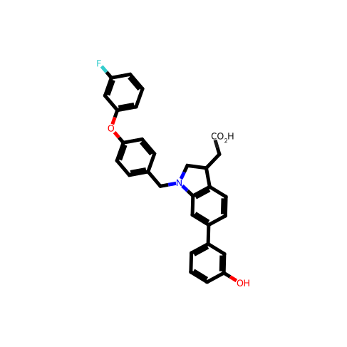 O=C(O)CC1CN(Cc2ccc(Oc3cccc(F)c3)cc2)c2cc(-c3cccc(O)c3)ccc21